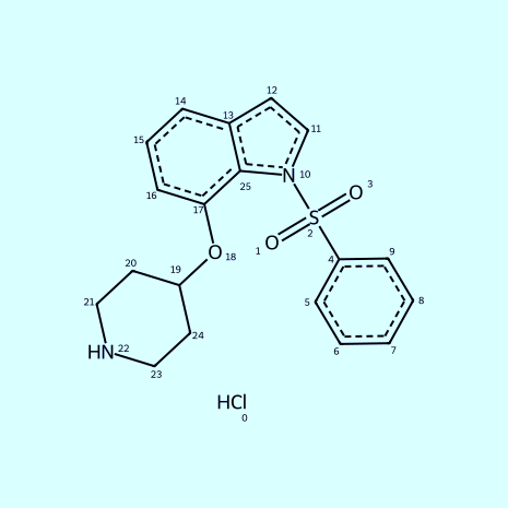 Cl.O=S(=O)(c1ccccc1)n1ccc2cccc(OC3CCNCC3)c21